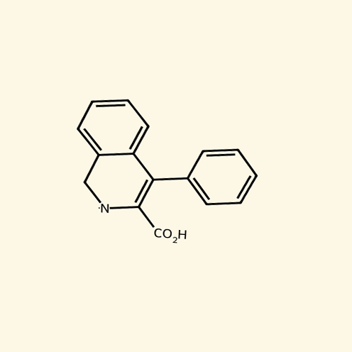 O=C(O)C1=C(c2ccccc2)c2ccccc2C[N]1